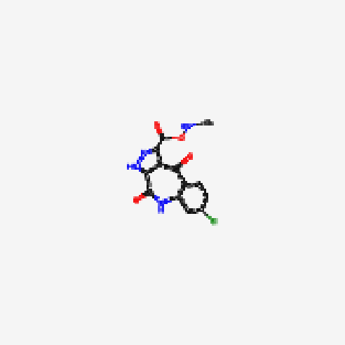 CC(C)(C)NOC(=O)c1n[nH]c2c(=O)[nH]c3cc(Cl)ccc3c(=O)c12